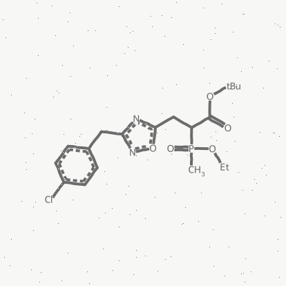 CCOP(C)(=O)C(Cc1nc(Cc2ccc(Cl)cc2)no1)C(=O)OC(C)(C)C